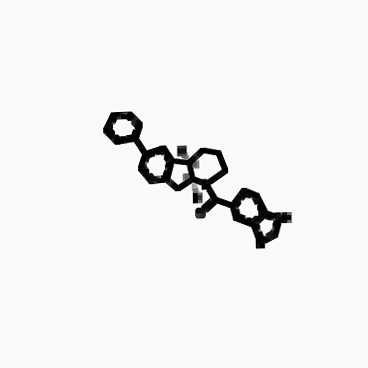 O=C(c1ccc2[nH]cnc2c1)N1CCC[C@@H]2c3cc(-c4ccccc4)ccc3C[C@@H]21